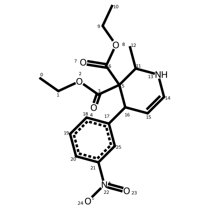 CCOC(=O)C1(C(=O)OCC)C(C)NC=CC1c1cccc([N+](=O)[O-])c1